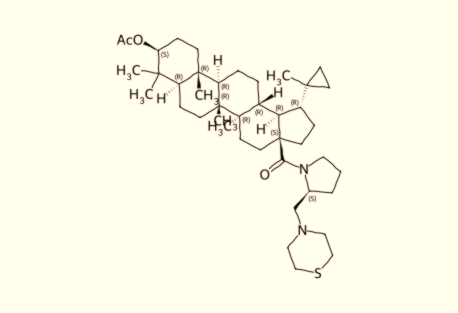 CC(=O)O[C@H]1CC[C@]2(C)[C@H]3CC[C@@H]4[C@H]5[C@H](C6(C)CC6)CC[C@]5(C(=O)N5CCC[C@H]5CN5CCSCC5)CC[C@@]4(C)[C@]3(C)CC[C@H]2C1(C)C